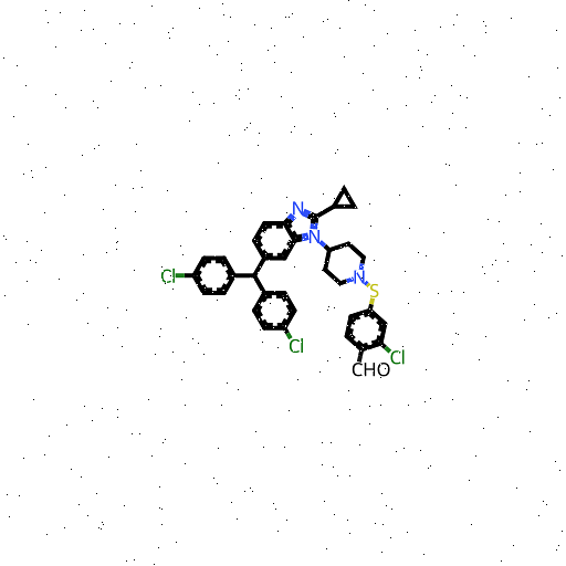 O=Cc1ccc(SN2CCC(n3c(C4CC4)nc4ccc(C(c5ccc(Cl)cc5)c5ccc(Cl)cc5)cc43)CC2)cc1Cl